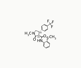 CSc1ccccc1NC(=O)[C@H]1C(=O)N(C)C[C@@H]1c1ccc(C(F)(F)F)cc1